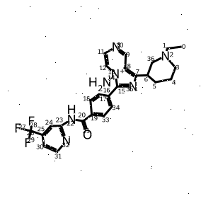 CCN1CCCC(C2=C3C=NC=C[N+]3(N)C(c3ccc(C(=O)Nc4cc(C(F)(F)F)ccn4)cc3)=N2)C1